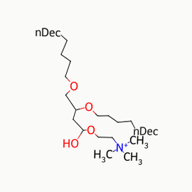 CCCCCCCCCCCCCCOCC(CC(O)OCC[N+](C)(C)C)OCCCCCCCCCCCCCC